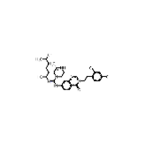 CC(C)CCCC(C)/N=C(/Nc1ccc2c(=O)n(CCc3ccc(Cl)cc3Cl)cnc2c1)N1CCN[C@@H](C)C1